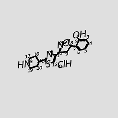 Cl.Oc1ccccc1C1CC(c2csc(C3CCNCC3)n2)=NO1